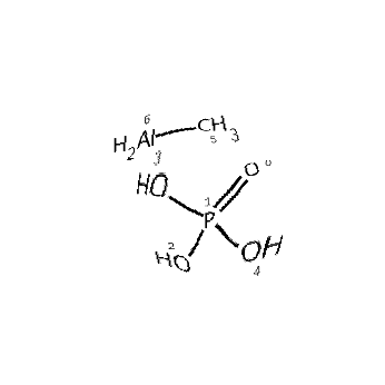 O=P(O)(O)O.[CH3][AlH2]